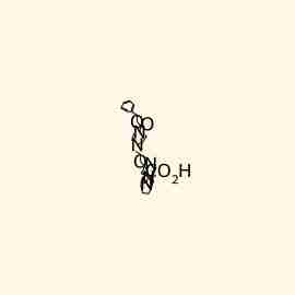 O=C(O)N1CC2CCC(C1)N2c1ccnc(OCCN2CCN(C(=O)OCc3ccccc3)CC2)c1